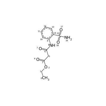 CCOC(=O)CC(=O)Nc1ccccc1S(N)(=O)=O